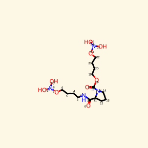 O=C(NCCCCON(O)O)C1CCCN1C(=O)OCCCCON(O)O